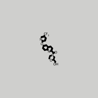 O=C(c1ccc2cc(Oc3ccc(C(F)(F)F)cn3)ccc2n1)N1CCOC(CO)C1